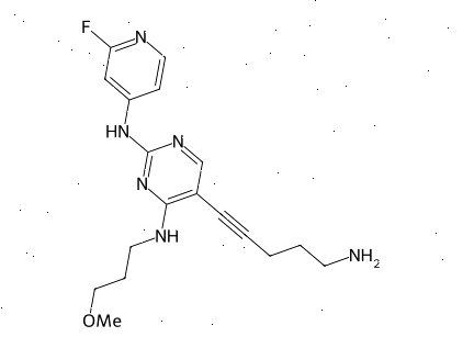 COCCCNc1nc(Nc2ccnc(F)c2)ncc1C#CCCCN